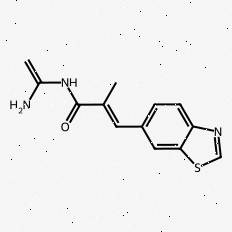 C=C(N)NC(=O)/C(C)=C/c1ccc2ncsc2c1